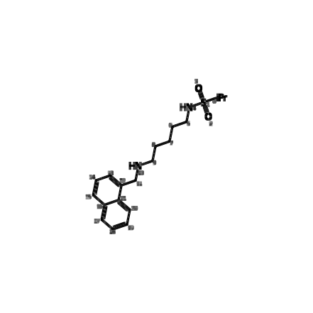 CC(C)S(=O)(=O)NCCCCCNCc1cccc2ccccc12